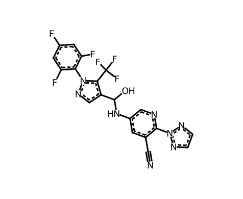 N#Cc1cc(NC(O)c2cnn(-c3c(F)cc(F)cc3F)c2C(F)(F)F)cnc1-n1nccn1